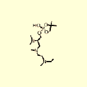 CCN(C)CCN(C)CC(COP(=O)(O)OC(C)(C)C)N(C)C